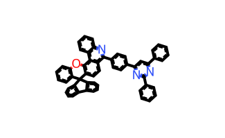 c1ccc(-c2cc(-c3ccc(-c4nc5ccccc5c5c6c(ccc45)C4(c5ccccc5O6)c5ccccc5-c5ccccc54)cc3)nc(-c3ccccc3)n2)cc1